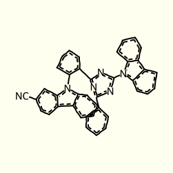 N#Cc1ccc2c3ccccc3n(-c3ccccc3-c3nc(-c4ccccc4)nc(-n4c5ccccc5c5ccccc54)n3)c2c1